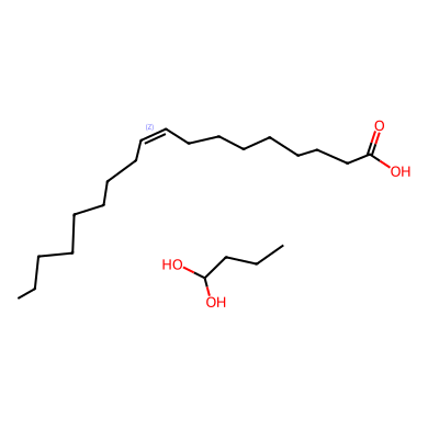 CCCC(O)O.CCCCCCCC/C=C\CCCCCCCC(=O)O